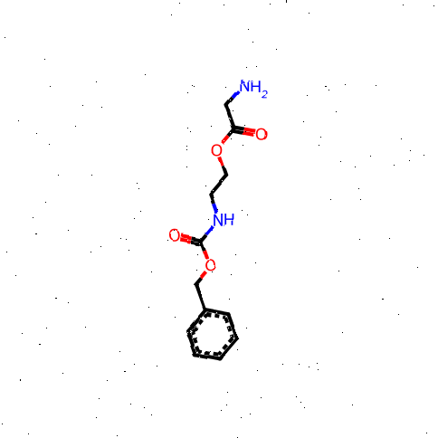 NCC(=O)OCCNC(=O)OCc1ccccc1